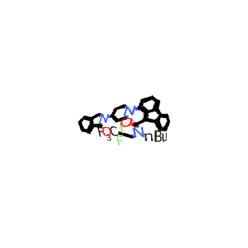 CCCCN(CC(F)(F)C(F)(F)F)C(=O)C1c2ccccc2-c2cccc(N3CCC(N4Cc5ccccc5C4=O)CC3)c21